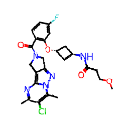 COCCC(=O)N[C@H]1C[C@H](Oc2cc(F)ccc2C(=O)N2Cc3nn4c(C)c(Cl)c(C)nc4c3C2)C1